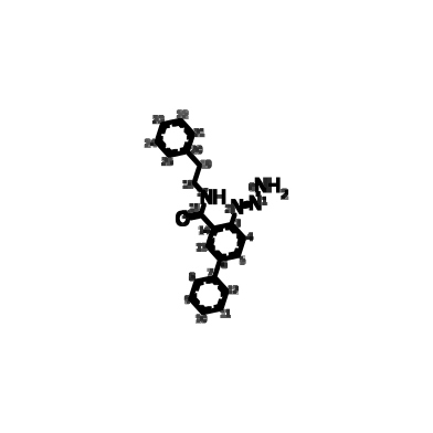 NN=Nc1ccc(-c2ccccc2)cc1C(=O)NCCc1ccccc1